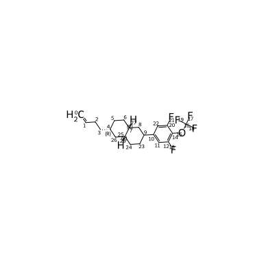 C=CCC[C@@H]1CC[C@@H]2CC(c3cc(F)c(OC(F)(F)F)c(F)c3)CC[C@@H]2C1